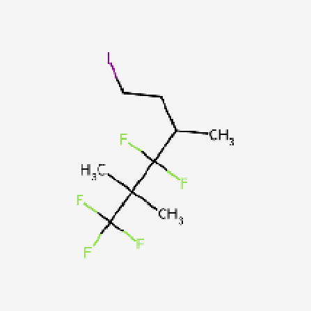 CC(CCI)C(F)(F)C(C)(C)C(F)(F)F